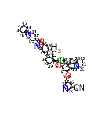 Cc1c(COc2cc(OCc3cncc(C#N)c3)c(CN3CCCC[C@H]3C(=O)O)cc2Cl)cccc1-c1ccc2oc(C3CCN(c4ccccc4)CC3)nc2c1